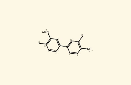 CNc1cc(-c2ccc(N)c(C)c2)ccc1C